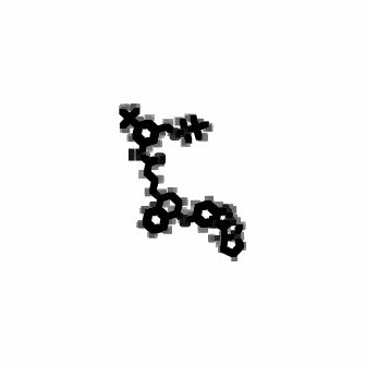 CN1CCC[C@@]1(C)c1nnc2ccc(O[C@@H]3CC[C@H](CCCC(=O)Nc4cc(CO[Si](C)(C)C(C)(C)C)cc(C(C)(C)C)c4)c4ccccc43)cn12